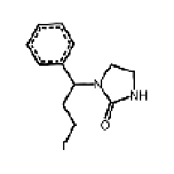 O=C1NCCN1C(CCI)c1ccccc1